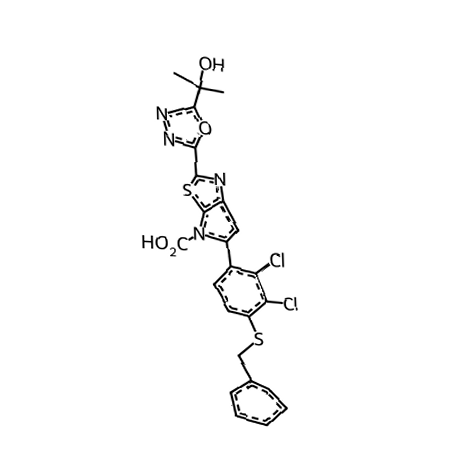 CC(C)(O)c1nnc(-c2nc3cc(-c4ccc(SCc5ccccc5)c(Cl)c4Cl)n(C(=O)O)c3s2)o1